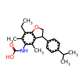 CCc1c(C)c(NC(=O)O)c(C)c2c1OCC2c1ccc(C(C)C)cc1